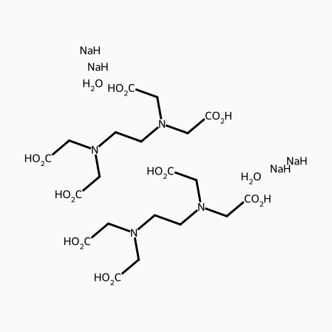 O.O.O=C(O)CN(CCN(CC(=O)O)CC(=O)O)CC(=O)O.O=C(O)CN(CCN(CC(=O)O)CC(=O)O)CC(=O)O.[NaH].[NaH].[NaH].[NaH]